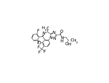 C[C@H](O)CNC(=O)c1nc2n(n1)-c1ccc(C(F)(F)F)c(Cl)c1C(c1c(F)cccc1F)=N[C@H]2C